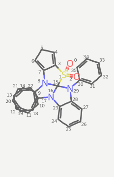 O=S1(=O)C2=CCC=C2N(c2ccccc2)C12N(c1ccccc1)c1ccccc1N2c1ccccc1